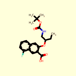 CCC(CNC(=O)OC(C)(C)C)Oc1cc2cccc(F)c2cc1C(=O)O